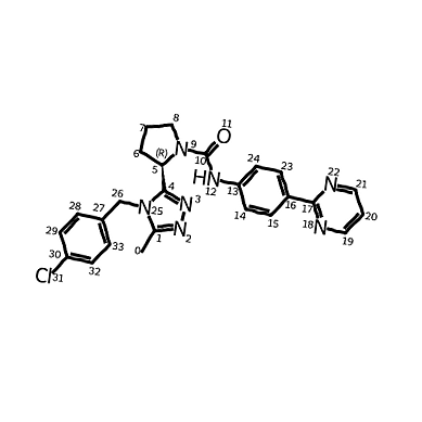 Cc1nnc([C@H]2CCCN2C(=O)Nc2ccc(-c3ncccn3)cc2)n1Cc1ccc(Cl)cc1